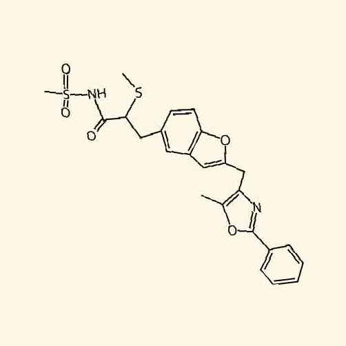 CSC(Cc1ccc2oc(Cc3nc(-c4ccccc4)oc3C)cc2c1)C(=O)NS(C)(=O)=O